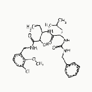 CCC(NC(=O)[C@H](CC(C)C)NC(=O)NCc1ccccc1)C(O)C(=O)NCc1cccc(Cl)c1OC